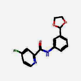 O=C(Nc1cccc(C2OCCO2)c1)c1cc(Br)ccn1